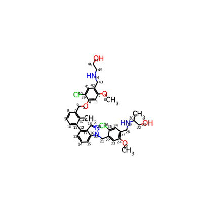 COc1cc(OCc2cccc(-c3cccc4c3cnn4Cc3cc(OC)c(CNC(C)CO)cc3Cl)c2C)c(Cl)cc1CNCCO